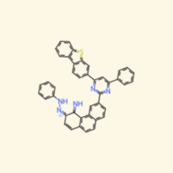 N=C1/C(=N\Nc2ccccc2)C=Cc2ccc3ccc(-c4nc(-c5ccccc5)cc(-c5ccc6c(c5)sc5ccccc56)n4)cc3c21